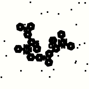 c1ccc(-c2nc(-c3cccc(-c4ccc(-n5c6ccccc6c6cc(-c7ccc(-c8nc(-c9ccccc9)nc(-c9ccccc9)n8)c8c7oc7ccccc78)ccc65)cc4)c3)nc(-c3cc(-c4ccc5c(c4)c4ccccc4n5-c4ccccc4)cc4sc5ccccc5c34)n2)cc1